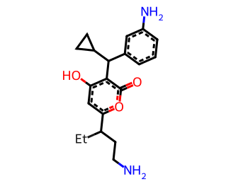 CCC(CCN)c1cc(O)c(C(c2cccc(N)c2)C2CC2)c(=O)o1